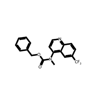 CN(C(=O)OCc1ccccc1)c1ccnc2ccc(C(F)(F)F)cc12